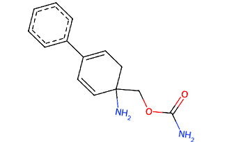 NC(=O)OCC1(N)C=CC(c2ccccc2)=CC1